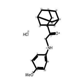 COc1ccc(NCC(=O)C23CC4CC(CC(C4)C2)C3)cc1.Cl